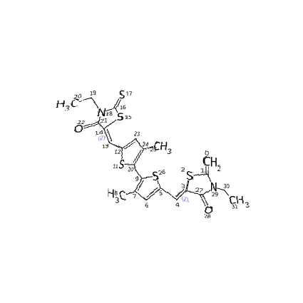 C=c1s/c(=C\c2cc(C)c(-c3sc(/C=C4\SC(=S)N(CC)C4=O)cc3C)s2)c(=O)n1CC